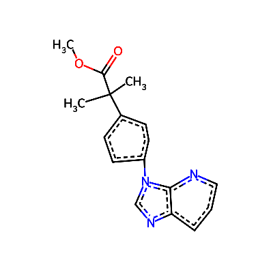 COC(=O)C(C)(C)c1ccc(-n2cnc3cccnc32)cc1